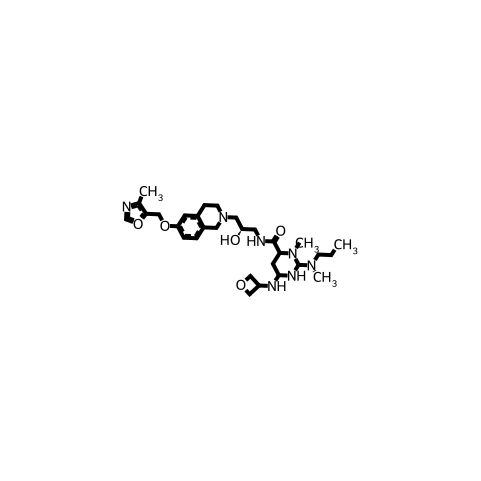 CCCN(C)C1NC(NC2COC2)CC(C(=O)NC[C@H](O)CN2CCc3cc(OCc4ocnc4C)ccc3C2)N1C